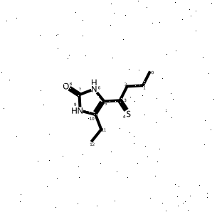 CCCC(=S)c1[nH]c(=O)[nH]c1CC